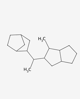 CC1C2CCCC2CC1C(C)C1CC2CCC1C2